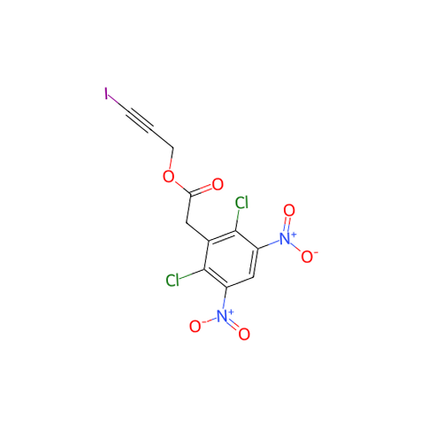 O=C(Cc1c(Cl)c([N+](=O)[O-])cc([N+](=O)[O-])c1Cl)OCC#CI